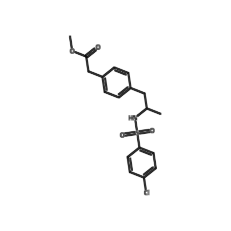 COC(=O)Cc1ccc(CC(C)NS(=O)(=O)c2ccc(Cl)cc2)cc1